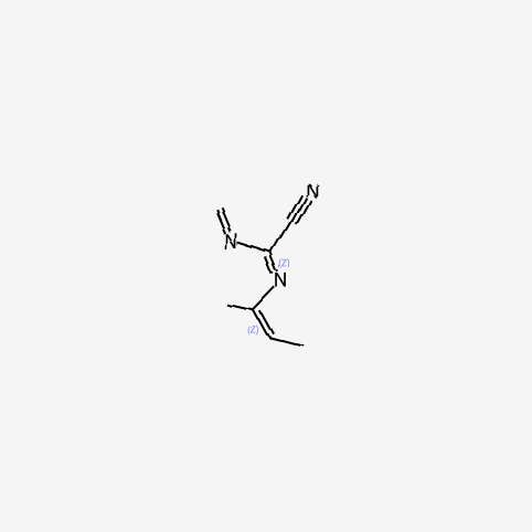 C=N/C(C#N)=N\C(C)=C/C